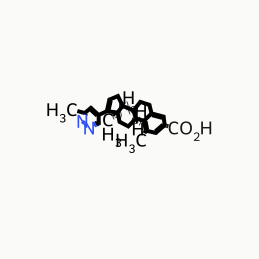 Cc1cc(C2=CC[C@H]3[C@@H]4CCc5cc(C(=O)O)cc(C)c5[C@H]4CC[C@]23C)cnn1